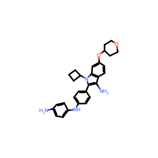 Nc1ccc(Nc2ccc(-c3c(N)c4ccc(OC5CCOCC5)cc4n3C3CCC3)cc2)cc1